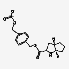 O=C(OCc1ccc(CO[N+](=O)[O-])cc1)C1C[C@@H]2CCC[C@@H]2N1